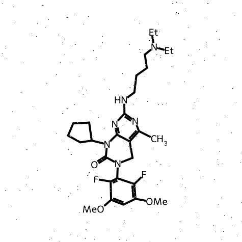 CCN(CC)CCCCNc1nc(C)c2c(n1)N(C1CCCC1)C(=O)N(c1c(F)c(OC)cc(OC)c1F)C2